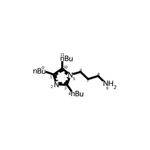 CCCCc1nc(CCCC)n(CCCN)c1CCCC